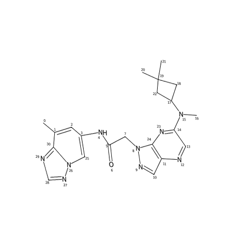 Cc1cc(NC(=O)Cn2ncc3ncc(N(C)C4CC(C)(C)C4)nc32)cn2ncnc12